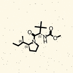 CC[C@@H](C)[C@@H]1CCCN1C(=O)[C@@H](NC(=O)OC)C(C)(C)C